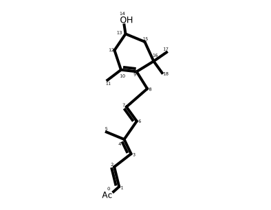 CC(=O)/C=C/C=C(C)/C=C/CC1=C(C)CC(O)CC1(C)C